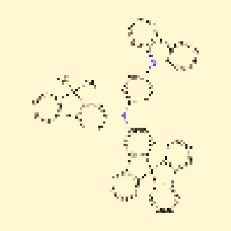 CC1(C)c2ccccc2-c2ccc(N(c3ccc(-n4c5ccccc5c5ccccc54)cc3)c3ccc4c(c3)-c3ccccc3C43c4ccccc4-c4ccccc43)cc21